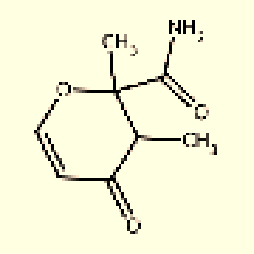 CC1C(=O)C=COC1(C)C(N)=O